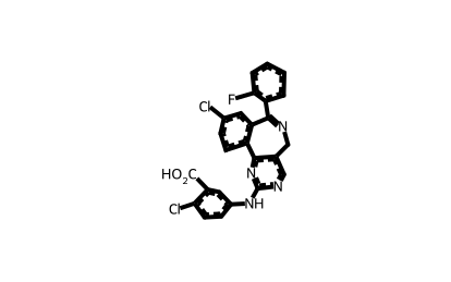 O=C(O)c1cc(Nc2ncc3c(n2)-c2ccc(Cl)cc2C(c2ccccc2F)=NC3)ccc1Cl